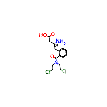 N[C@@H](CC(=O)O)Cc1ccccc1C(=O)N(CCCl)CCCl